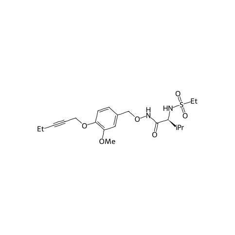 CCC#CCOc1ccc(CONC(=O)[C@@H](NS(=O)(=O)CC)C(C)C)cc1OC